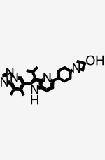 Cc1c(-c2[nH]c3ccc(C4CCC(N5CC(O)C5)CC4)nc3c2C(C)C)cn2ncnc2c1C